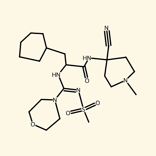 CN1CCC(C#N)(NC(=O)C(CC2CCCCC2)N/C(=N/S(C)(=O)=O)N2CCOCC2)CC1